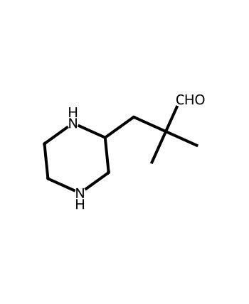 CC(C)(C=O)CC1CNCCN1